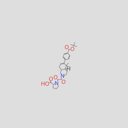 CC(C)(C)OC(=O)c1ccc(C2=CC[C@]3(C)CN(C(=O)C(=O)N4CCC[C@H]4C(=O)O)CC[C@H]3C2(C)C)cc1